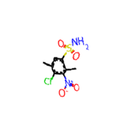 Cc1cc(S(N)(=O)=O)c(C)c([N+](=O)[O-])c1Cl